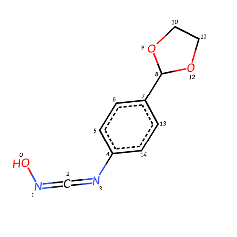 ON=C=Nc1ccc(C2OCCO2)cc1